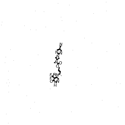 C[C@@H](/C=C/COC(=O)N(C)C1CN(c2ncc(C#N)cn2)C1)Nc1cn[nH]c(=O)c1C(F)(F)F